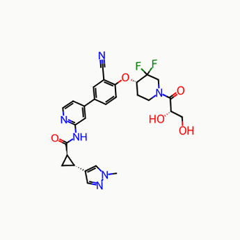 Cn1cc([C@@H]2C[C@H]2C(=O)Nc2cc(-c3ccc(O[C@H]4CCN(C(=O)[C@@H](O)CO)CC4(F)F)c(C#N)c3)ccn2)cn1